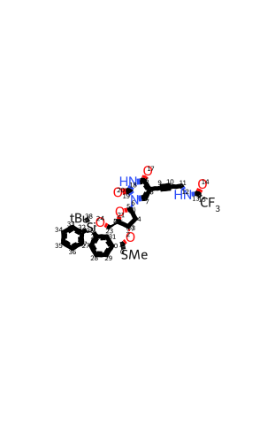 CSCO[C@H]1C[C@H](n2cc(C#CCNC(=O)C(F)(F)F)c(=O)[nH]c2=O)O[C@@H]1CO[Si](c1ccccc1)(c1ccccc1)C(C)(C)C